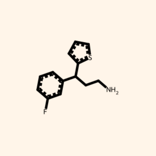 NCCC(c1cccc(F)c1)c1cccs1